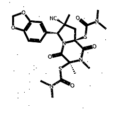 CN(C)C(=O)S[C@@]1(C)C(=O)N2[C@@H](c3ccc4c(c3)OCO4)[C@@](C)(C#N)C[C@]2(SC(=O)N(C)C)C(=O)N1C